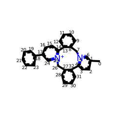 Cc1ccc2[n+](c1)Cc1ccccc1-c1ccc(-c3ccccc3)c[n+]1Cc1ccccc1-2